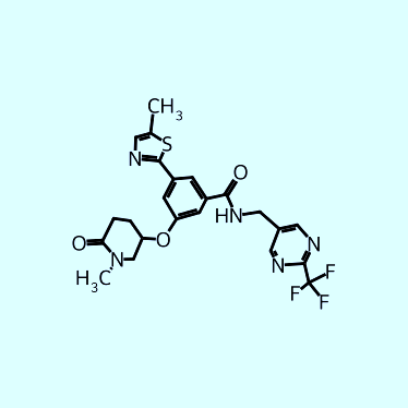 Cc1cnc(-c2cc(OC3CCC(=O)N(C)C3)cc(C(=O)NCc3cnc(C(F)(F)F)nc3)c2)s1